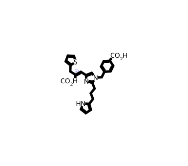 O=C(O)/C(=C\c1cn(Cc2ccc(C(=O)O)cc2)c(CCCc2ccc[nH]2)n1)Cc1cccs1